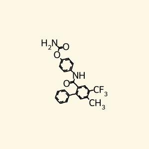 Cc1cc(-c2ccccc2)c(C(=O)Nc2ccc(OC(N)=O)cc2)cc1C(F)(F)F